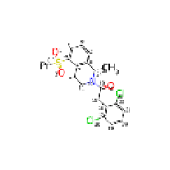 CC(C)S(=O)(=O)c1cccc2c1CCN(C(=O)Cc1c(Cl)cccc1Cl)[C@H]2C